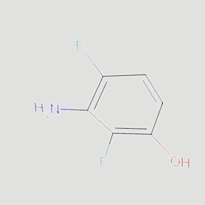 Nc1c(F)ccc(O)c1F